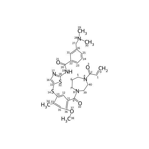 C=CC(=O)N1CCCN(C(=O)c2cc(Sc3cnc(NC(=O)c4cccc(CN(C)C)c4)s3)c(C)cc2OC)CC1